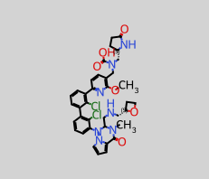 COc1nc(-c2cccc(-c3cccc(N4C(CNC[C@@H]5CCO5)N(C)C(=O)c5cccn54)c3Cl)c2Cl)ccc1CN(C[C@@H]1CCC(=O)N1)C(=O)O